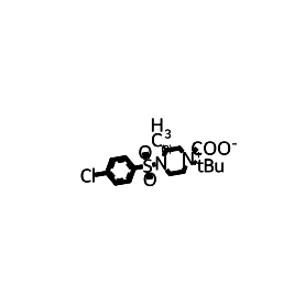 C[C@@H]1C[N+](C(=O)[O-])(C(C)(C)C)CCN1S(=O)(=O)c1ccc(Cl)cc1